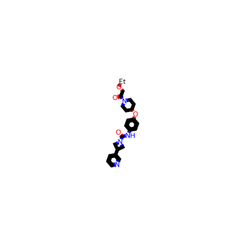 CCOCC(=O)N1CCC(Oc2ccc(NC(=O)N3CC(c4cccnc4)C3)cc2)CC1